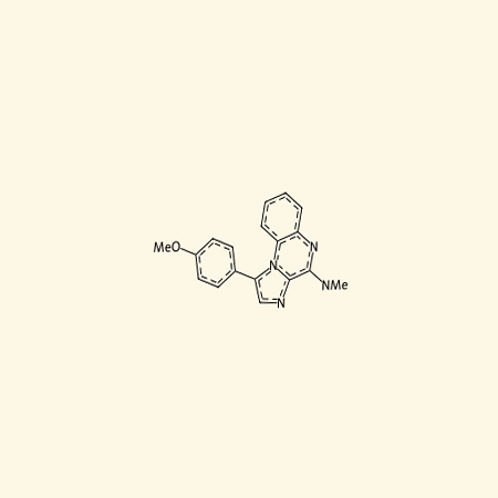 CNc1nc2ccccc2n2c(-c3ccc(OC)cc3)cnc12